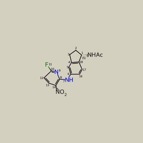 CC(=O)N[C@H]1CCc2cc(Nc3nc(F)ccc3[N+](=O)[O-])ccc21